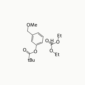 CCO[PH](=O)OCC.COCc1cccc(OC(=O)C(C)(C)C)c1